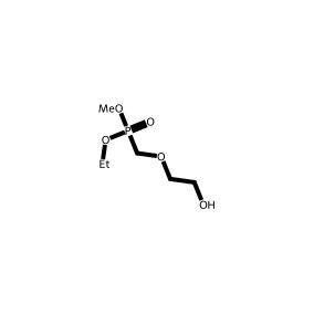 CCOP(=O)(COCCO)OC